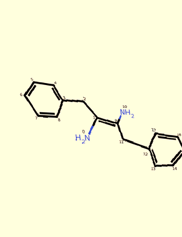 NC(Cc1ccccc1)=C(N)Cc1ccccc1